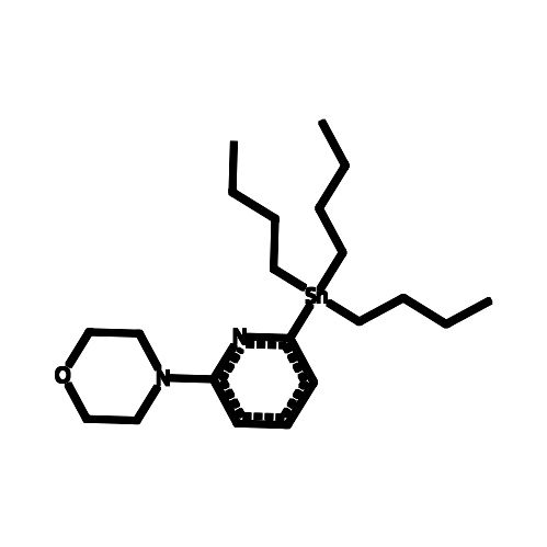 CCC[CH2][Sn]([CH2]CCC)([CH2]CCC)[c]1cccc(N2CCOCC2)n1